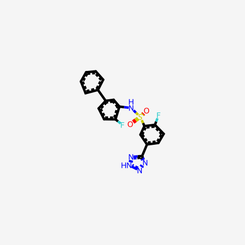 O=S(=O)(Nc1cc(-c2ccccc2)ccc1F)c1cc(-c2nn[nH]n2)ccc1F